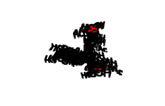 CC(=O)N[C@H]1[C@H](OC[C@H]2O[C@@H](O[C@H]3[C@H](O)[C@@H](CO)O[C@@H](O[C@H]4[C@@H](O)[C@@H](CO)O[C@@H](O[C@H]5[C@H](O)[C@@H](O)[C@H](O)O[C@@H]5CO)[C@@H]4O)[C@@H]3NC(C)=O)[C@H](O)[C@@H](O[C@@H]3O[C@H](CO)[C@@H](O)[C@H](O[C@@H]4O[C@H](CO)[C@H](O)[C@H](O[C@H]5O[C@H](CO)[C@H](O)[C@H](O)[C@H]5NC(C)=O)[C@H]4O[C@@H]4O[C@@H](C)[C@@H](O)[C@@H](O)[C@@H]4O)[C@H]3NC(C)=O)[C@H]2O)O[C@H](CO)[C@@H](O[C@@H]2O[C@H](CO)[C@H](O)[C@H](O[C@H]3O[C@H](CO)[C@@H](O)[C@H](O)[C@H]3NC(C)=O)[C@H]2O[C@@H]2O[C@@H](C)[C@@H](O)[C@@H](O)[C@@H]2O)[C@@H]1O